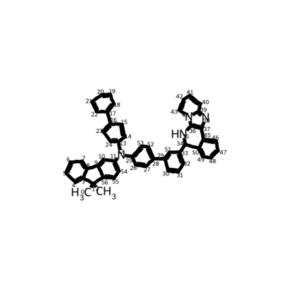 CC1(C)c2ccccc2-c2cc(N(c3ccc(-c4ccccc4)cc3)c3ccc(-c4cccc(C5Nc6c(nc7ccccn67)-c6ccccc65)c4)cc3)ccc21